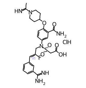 CC(=N)N1CCC(Oc2ccc(N(C/C(F)=C/c3cccc(C(=N)N)c3)S(=O)(=O)CC(=O)O)cc2C(N)=O)CC1.Cl